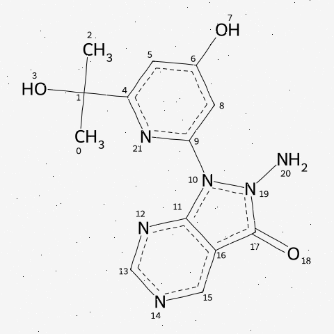 CC(C)(O)c1cc(O)cc(-n2c3ncncc3c(=O)n2N)n1